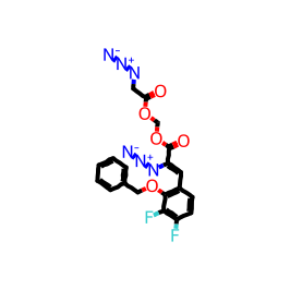 [N-]=[N+]=NCC(=O)OCOC(=O)/C(=C/c1ccc(F)c(F)c1OCc1ccccc1)N=[N+]=[N-]